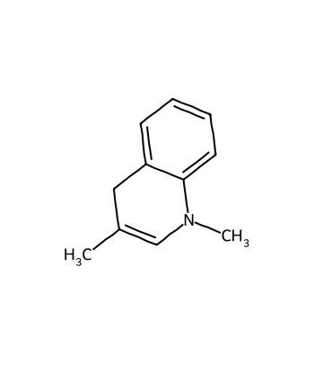 CC1=CN(C)c2ccccc2C1